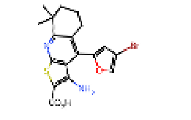 CC1(C)CCCc2c1nc1sc(C(=O)O)c(N)c1c2-c1cc(Br)co1